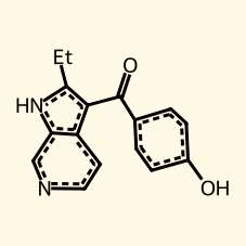 CCc1[nH]c2cnccc2c1C(=O)c1ccc(O)cc1